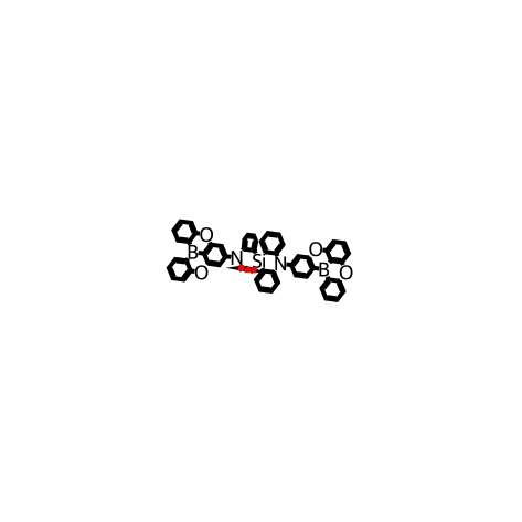 c1ccc2c(c1)Oc1cccc3c1B2c1ccc(N2c4ccccc4[Si]4(c5ccccc52)c2ccccc2N(c2cc5c6c(c2)Oc2ccccc2B6c2ccccc2O5)c2ccccc24)cc1O3